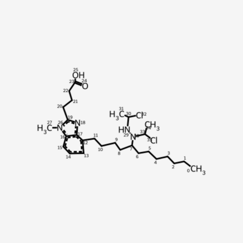 CCCCCCCC(CCCCc1cccc2c1nc(CCCC(=O)O)n2C)N(NC(C)Cl)C(C)Cl